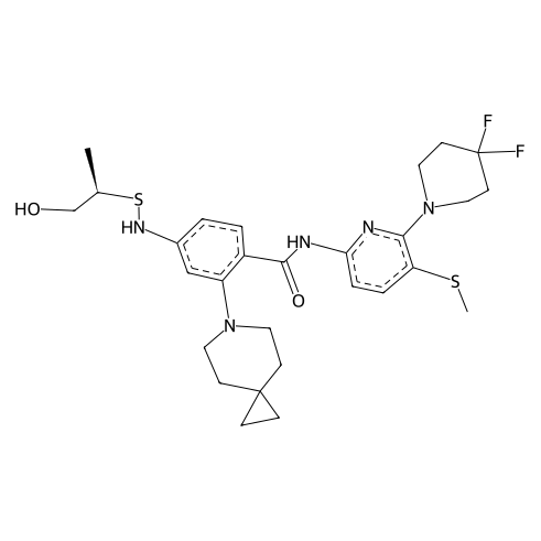 CSc1ccc(NC(=O)c2ccc(NS[C@H](C)CO)cc2N2CCC3(CC2)CC3)nc1N1CCC(F)(F)CC1